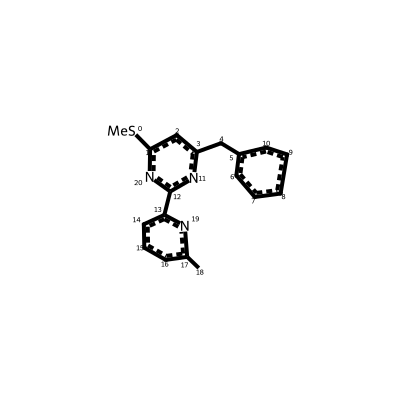 CSc1cc(Cc2ccccc2)nc(-c2cccc(C)n2)n1